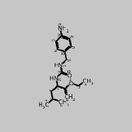 C=C(OCC)C(CC(C)C)NC(=O)NCc1ccc(N)cc1